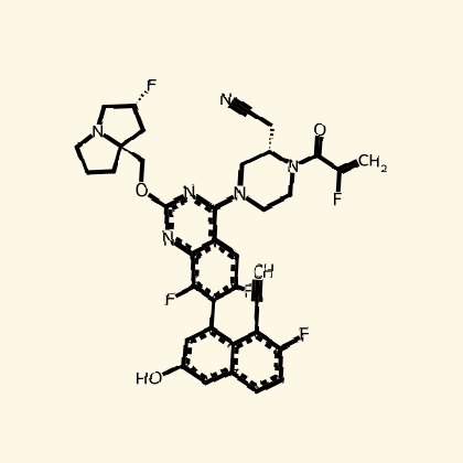 C#Cc1c(F)ccc2cc(O)cc(-c3c(F)cc4c(N5CCN(C(=O)C(=C)F)[C@@H](CC#N)C5)nc(OC[C@@]56CCCN5C[C@H](F)C6)nc4c3F)c12